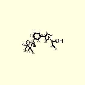 C=CC(O)N1CC=C(c2cccc(B3OC(C)(C)C(C)(C)O3)c2)C1